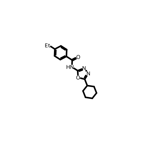 CCc1ccc(C(=O)Nc2nnc(C3CCCCC3)o2)cc1